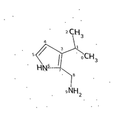 CC(C)c1cc[nH]c1CN